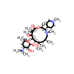 CO[C@]1(C)C[C@@H](C)CN(C)[C@H](C2CCN(C)CC2)[C@H](C)OC(=O)C(C)(C)C(=O)[C@H](C)[C@H]1O[C@@H]1O[C@H](C)C[C@H](N(C)C)[C@H]1O